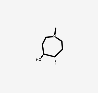 CN1CC[C@H](O)[C@@H](F)CC1